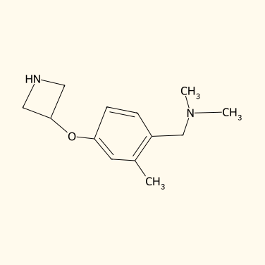 Cc1cc(OC2CNC2)ccc1CN(C)C